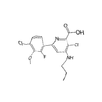 CCCNc1cc(-c2ccc(Cl)c(OC)c2F)nc(C(=O)O)c1Cl